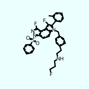 Cc1ccccc1-c1c(F)c2c3c(F)nn(S(=O)(=O)c4ccccc4)c3ccc2n1Cc1ccc(CCNCCCF)cc1